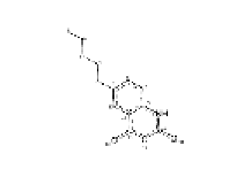 CCCCCc1ccc2[nH]c(=O)oc(=O)c2c1